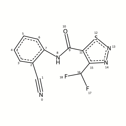 N#Cc1ccccc1NC(=O)c1snnc1C(F)F